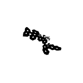 CC1(C)c2ccc(-c3cc4ccccc4c4c3sc3cc5ccccc5cc34)cc2-c2ccc(-c3c4ccccc4c(-c4cccc5ccccc45)c4ccccc34)cc21